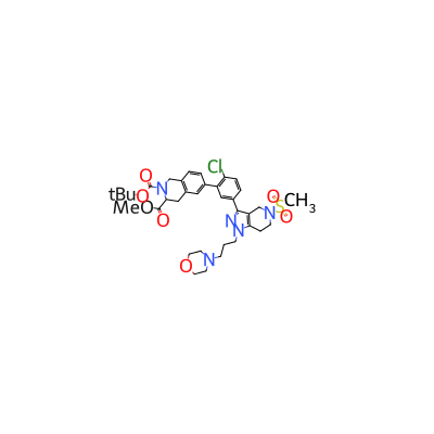 COC(=O)C1Cc2cc(-c3cc(-c4nn(CCCN5CCOCC5)c5c4CN(S(C)(=O)=O)CC5)ccc3Cl)ccc2CN1C(=O)OC(C)(C)C